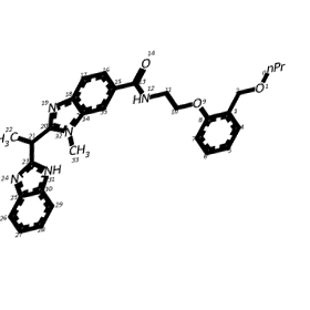 CCCOCc1ccccc1OCCNC(=O)c1ccc2nc(C(C)c3nc4ccccc4[nH]3)n(C)c2c1